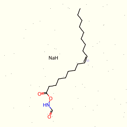 CCCCCCCC/C=C\CCCCCCCC(=O)ONC=O.[NaH]